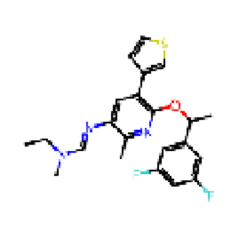 CCN(C)/C=N/c1cc(-c2ccsc2)c(OC(C)c2cc(F)cc(F)c2)nc1C